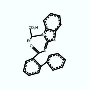 CCC(C(=O)O)n1/c(=N\C(=O)c2ccccc2-c2ccccc2)sc2ccccc21